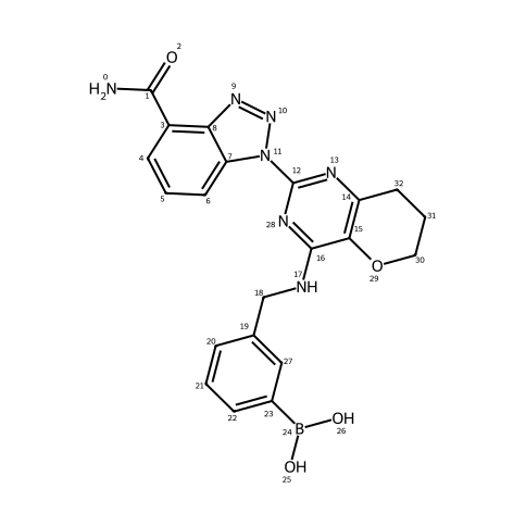 NC(=O)c1cccc2c1nnn2-c1nc2c(c(NCc3cccc(B(O)O)c3)n1)OCCC2